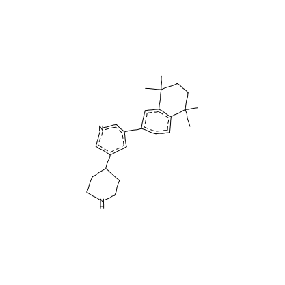 CC1(C)CCC(C)(C)c2cc(-c3cncc(C4CCNCC4)c3)ccc21